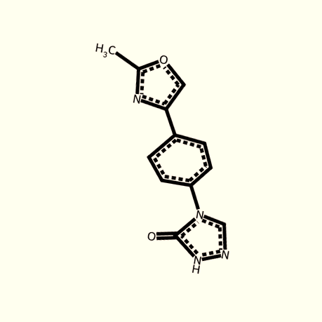 Cc1nc(-c2ccc(-n3cn[nH]c3=O)cc2)co1